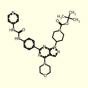 CC(C)(C)OC(=O)N1CCC(n2ncc3c(N4CCOCC4)nc(-c4ccc(NC(=O)Nc5ccncc5)cc4)nc32)CC1